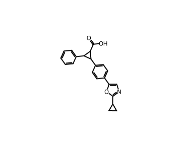 O=C(O)C1C(c2ccccc2)C1c1ccc(-c2cnc(C3CC3)o2)cc1